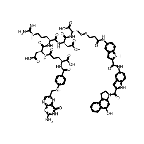 N=C(N)NCCC[C@H](NC(=O)[C@H](CC(=O)O)NC(=O)CC[C@H](NC(=O)c1ccc(NCc2cnc3nc(N)[nH]c(=O)c3n2)cc1)C(=O)O)C(=O)N[C@@H](CC(=O)O)C(=O)N[C@@H](CSSCCC(=O)Nc1ccc2[nH]c(C(=O)Nc3ccc4[nH]c(C(=O)N5CCc6c5cc(O)c5ccccc65)cc4c3)cc2c1)C(=O)O